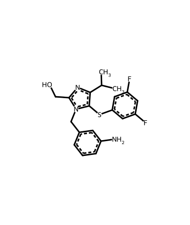 CC(C)c1nc(CO)n(Cc2cccc(N)c2)c1Sc1cc(F)cc(F)c1